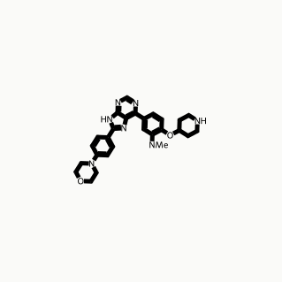 CNc1cc(-c2ncnc3[nH]c(-c4ccc(N5CCOCC5)cc4)nc23)ccc1OC1CCNCC1